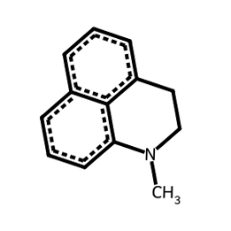 CN1CCc2cccc3cccc1c23